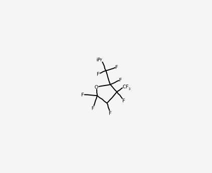 CC(C)C(F)(F)C1(F)OC(F)(F)C(F)C1(F)C(F)(F)F